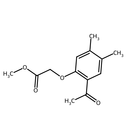 COC(=O)COc1cc(C)c(C)cc1C(C)=O